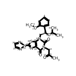 COc1ccccc1[C@H](Cn1c(=O)n(CC(C)=O)c(=O)c2nc(-n3nccn3)sc21)OC(C)C